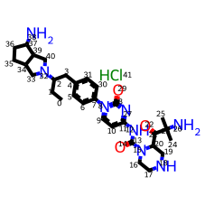 CCC(Cc1ccc(-n2ccc(NC(=O)N3CCNCC3C(=O)C(C)(C)N)nc2=O)cc1)N1CC2CCC(N)C2C1.Cl